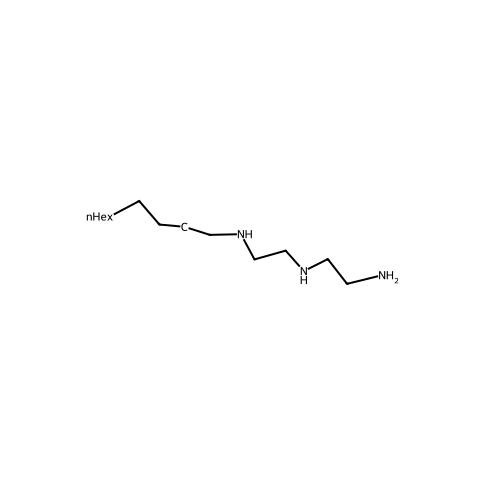 CCCCCCCCCCNCCNCCN